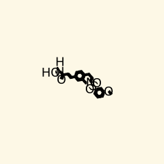 COc1cccc(S(=O)(=O)N2CCc3ccc(C=CC(=O)NO)cc3C2)c1